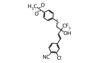 CS(=O)(=O)c1ccc(SCC(O)(/C=C/c2ccc(C#N)c(Cl)c2)C(F)(F)F)cc1